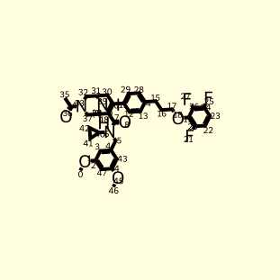 COc1cc(CN(C(=O)C2=C(c3ccc(CCCOc4c(F)ccc(F)c4F)cc3)CC3CN(C(C)=O)C[C@H]2N3)C2CC2)cc(OC)c1